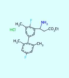 CCOC(=O)CC(N)c1cc(-c2c(C)cc(F)cc2C)cc(C)c1F.Cl